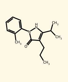 CCCc1c(C(C)C)[nH]n(-c2ccccc2C)c1=O